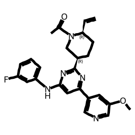 C=C[C@H]1CC[C@@H](c2nc(Nc3cccc(F)c3)cc(-c3cncc(OC)c3)n2)CN1C(C)=O